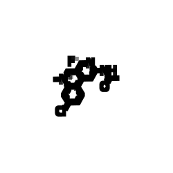 CC(=O)Nc1cc2c(cn1)c[n+](C)c1cc(Cl)ccc21.[F-]